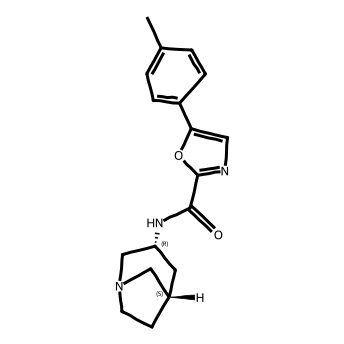 Cc1ccc(-c2cnc(C(=O)N[C@@H]3C[C@@H]4CCN(C4)C3)o2)cc1